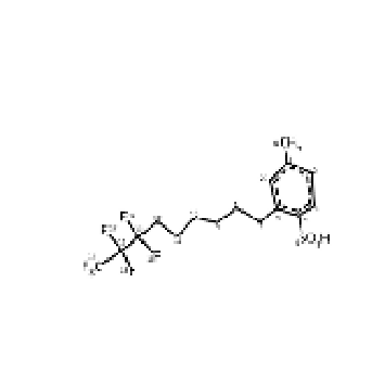 Cc1ccc(S(=O)(=O)O)c(CCCCCCC(F)(F)C(F)(F)C(F)(F)F)c1